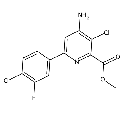 COC(=O)c1nc(-c2ccc(Cl)c(F)c2)cc(N)c1Cl